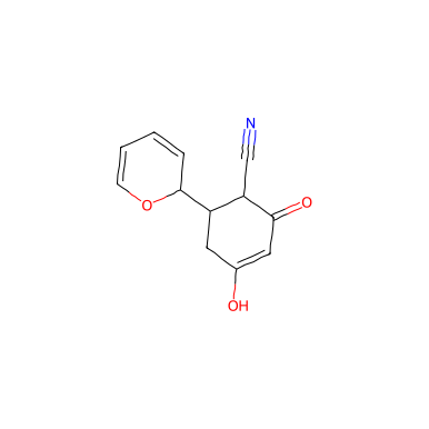 N#CC1C(=O)C=C(O)CC1C1C=CC=CO1